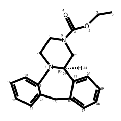 CCOC(=O)N1CCN2c3ccccc3Cc3ccccc3[C@@H]2C1